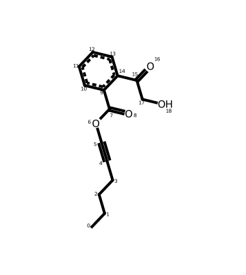 CCCCC#COC(=O)c1ccccc1C(=O)CO